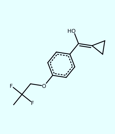 CC(F)(F)COc1ccc(C(O)=C2CC2)cc1